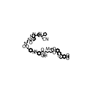 COc1ccc2cc3[n+](cc2c1OC(=O)CCCCNC(=O)c1cc(/N=N/c2ccc(COC(=O)N(C)CCN(C)C(=O)n4ccc5c(-c6cnn([C@H](CC#N)C7CCCC7)c6)ncnc54)cc2)ccc1O)CCc1cc2c(cc1-3)OCO2